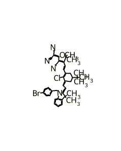 CC1(C)OC(=C(C#N)C#N)C(C#N)=C1C=CC1=C(Cl)C(=CC=C2N(Cc3ccc(Br)cc3)c3ccccc3C2(C)C)CC(C(C)(C)C)C1